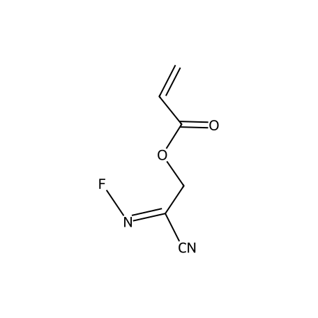 C=CC(=O)OCC(C#N)=NF